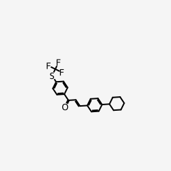 O=C(C=Cc1ccc(C2CCCCC2)cc1)c1ccc(SC(F)(F)F)cc1